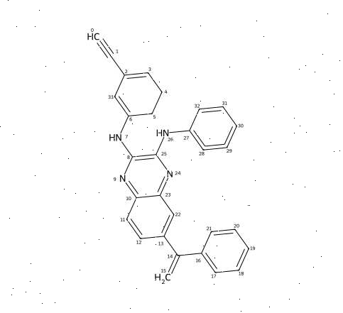 C#CC1=CCCC(Nc2nc3ccc(C(=C)c4ccccc4)cc3nc2NC2=C=C=CC=C2)=C1